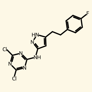 Fc1ccc(CCc2cc(Nc3nc(Cl)nc(Cl)n3)n[nH]2)cc1